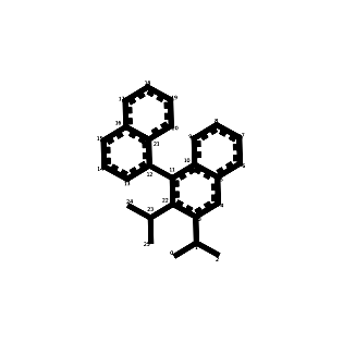 CC(C)c1cc2ccccc2c(-c2cccc3ccccc23)c1C(C)C